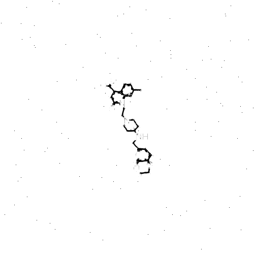 COC(=O)c1cc(=O)n(CCN2CCC(NCc3ccc4c(c3)OCCO4)CC2)c2cc(C)ccc12